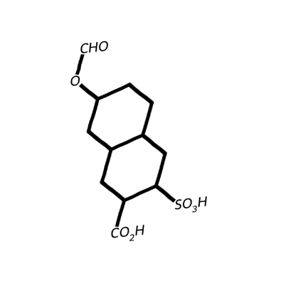 O=COC1CCC2CC(S(=O)(=O)O)C(C(=O)O)CC2C1